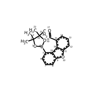 CC1(C)OB(c2cccc3oc4cccc(C=O)c4c23)OC1(C)C